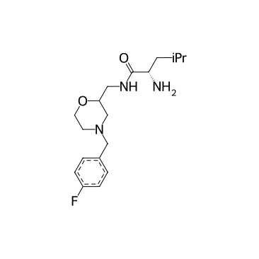 CC(C)C[C@H](N)C(=O)NCC1CN(Cc2ccc(F)cc2)CCO1